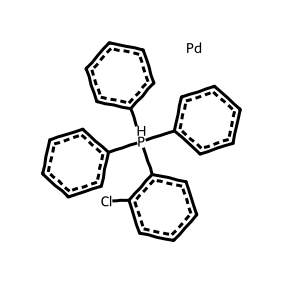 Clc1ccccc1[PH](c1ccccc1)(c1ccccc1)c1ccccc1.[Pd]